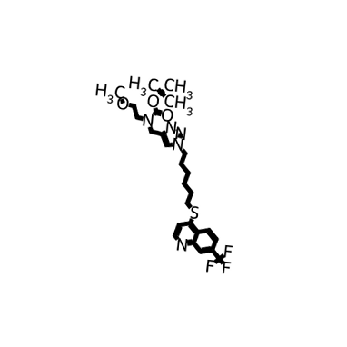 COCCN(Cc1cn(CCCCCCSc2ccnc3cc(C(F)(F)F)ccc23)nn1)C(=O)OC(C)(C)C